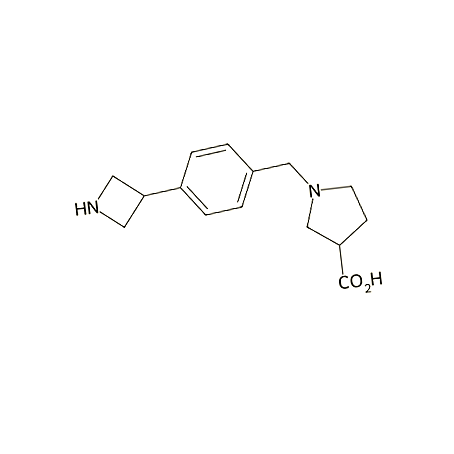 O=C(O)C1CCN(Cc2ccc(C3CNC3)cc2)C1